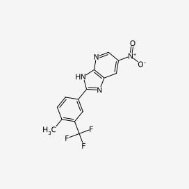 Cc1ccc(-c2nc3cc([N+](=O)[O-])cnc3[nH]2)cc1C(F)(F)F